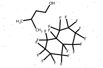 CC(C)CCO.FC1(F)C(F)(F)C(F)(F)C2(F)C(F)(F)C(F)(F)C(F)(F)C(F)(F)C2(F)C1(F)F